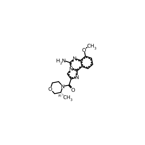 COc1cccc2c1nc(N)n1cc(C(=O)N3CCOC[C@H]3C)nc21